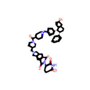 O=C1CC[C@@H](N2C(=O)c3cc4c(cc3C2=O)CN(CC2CCN(C(=O)C3CCN(c5ccc([C@@H]6c7ccc(O)cc7CC[C@@H]6c6ccccc6)cc5)CC3)CC2)C4)C(=O)N1